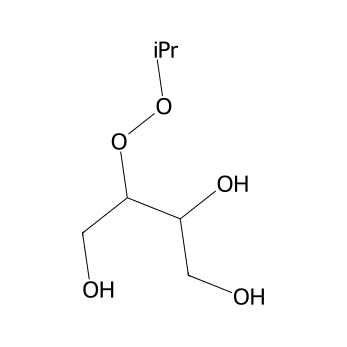 CC(C)OOC(CO)C(O)CO